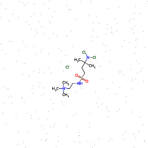 CC(C)(CCS(=O)(=O)NCC[N+](C)(C)C)N(Cl)Cl.[Cl-]